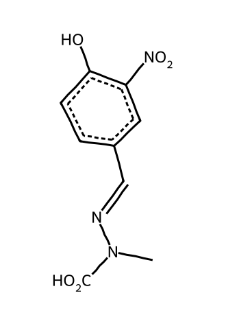 CN(N=Cc1ccc(O)c([N+](=O)[O-])c1)C(=O)O